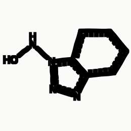 ONn1nnc2ccccc21